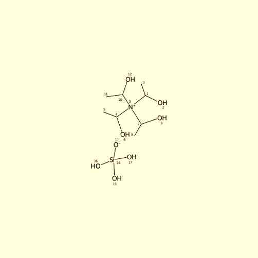 CC(O)[N+](C(C)O)(C(C)O)C(C)O.[O-][Si](O)(O)O